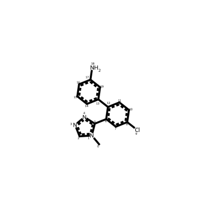 Cn1cnnc1-c1cc(Cl)ccc1-c1cccc(N)c1